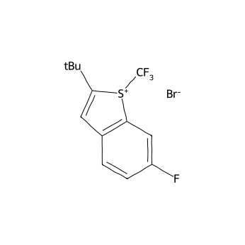 CC(C)(C)c1cc2ccc(F)cc2[s+]1C(F)(F)F.[Br-]